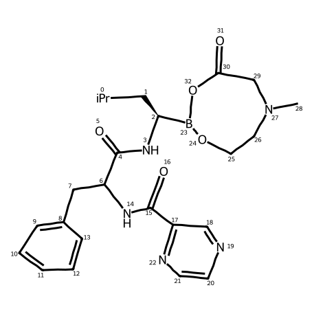 CC(C)C[C@H](NC(=O)C(Cc1ccccc1)NC(=O)c1cnccn1)B1OCCN(C)CC(=O)O1